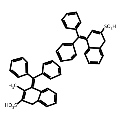 CC1=C(S(=O)(=O)O)Cc2ccccc2C1=C(c1ccccc1)c1ccccc1.O=S(=O)(O)C1=CC(=C(c2ccccc2)c2ccccc2)c2ccccc2C1